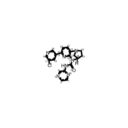 O=C(Nc1cnccn1)N1c2nc(-c3cncc(Cl)c3)ccc2N2CC[C@H]1C2